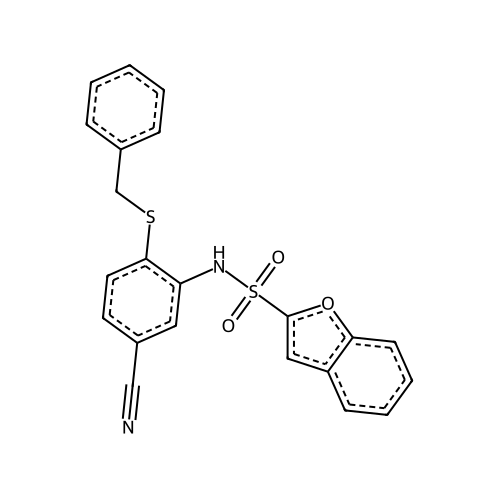 N#Cc1ccc(SCc2ccccc2)c(NS(=O)(=O)c2cc3ccccc3o2)c1